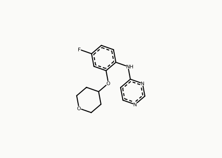 Fc1ccc(Nc2ccncn2)c(OC2CCOCC2)c1